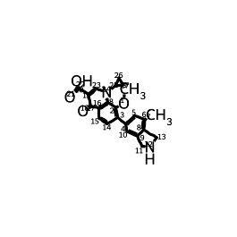 COc1c(-c2cc(C)c3c(c2)CNC3)ccc2c(=O)c(C(=O)O)cn(C3CC3)c12